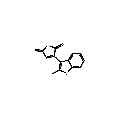 Cc1sc2ccccc2c1C1=CC(=O)OC1=O